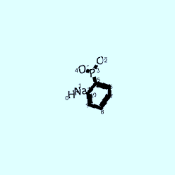 [H+].[Na+].[O-]P([O-])c1ccccc1